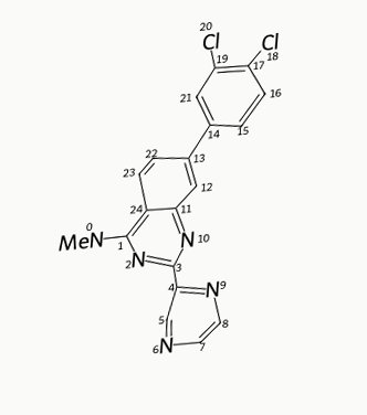 CNc1nc(-c2cnccn2)nc2cc(-c3ccc(Cl)c(Cl)c3)ccc12